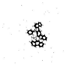 Oc1c(-n2c3ccccc3c3cc4c5c6ccccc6ccc5n(C5=CC=CCC5)c4cc32)c2ccccc2c2ccccc12